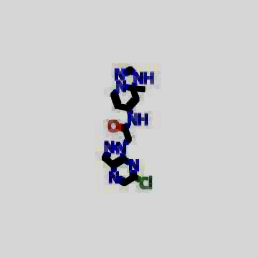 CC12C=C(NC(=O)Cn3ncc4ncc(Cl)nc43)C=CN1N=CN2